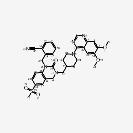 COc1cc2ncnc(N3CCC(CN4Cc5cc(S(C)(=O)=O)ccc5N(Cc5ccccc5C#N)C4=O)CC3)c2cc1OC